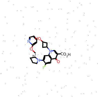 O=C(O)c1cn(C2CC(O)C2)c2cc(N3CCC[C@@H]3COc3ccccn3)c(F)cc2c1=O